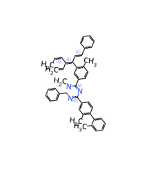 C=CC(/C=C\C)=C(/C=C/c1ccccc1)c1cc(/C(N=C)=N/C(=N\Cc2ccccc2)c2ccc(-c3ccccc3C)c(C)c2)ccc1C